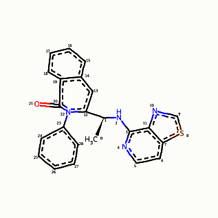 C[C@H](Nc1nccc2scnc12)c1cc2ccccc2c(=O)n1-c1ccccc1